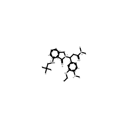 CCOc1cc(C(CC(=O)N(C)C)N2Cc3cccc(NCC(C)(C)C)c3C2=O)ccc1OC